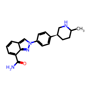 CC1CC[C@@H](c2ccc(-n3cc4cccc(C(N)=O)c4n3)cc2)CN1